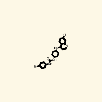 O=C(Nc1ccc(Br)cc1)N[C@H]1CC[C@@H](Nc2ccnc3cc(Cl)ccc23)CC1